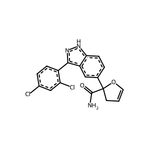 NC(=O)C1(c2ccc3[nH]nc(-c4ccc(Cl)cc4Cl)c3c2)CC=CO1